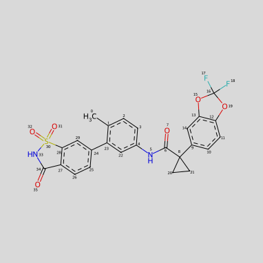 Cc1ccc(NC(=O)C2(c3ccc4c(c3)OC(F)(F)O4)CC2)cc1-c1ccc2c(c1)S(=O)(=O)NC2=O